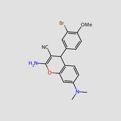 COc1ccc(C2C(C#N)=C(N)Oc3cc(N(C)C)ccc32)cc1Br